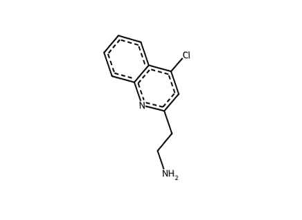 NCCc1cc(Cl)c2ccccc2n1